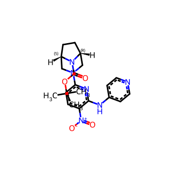 CC(C)(C)OC(=O)N1[C@@H]2CC[C@H]1CN(c1ccc([N+](=O)[O-])c(Nc3ccncc3)n1)C2